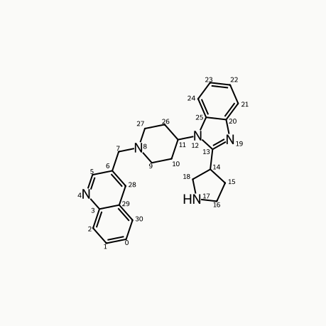 c1ccc2ncc(CN3CCC(n4c(C5CCNC5)nc5ccccc54)CC3)cc2c1